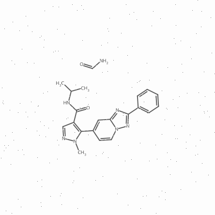 CC(C)NC(=O)c1cnn(C)c1-c1ccn2nc(-c3ccccc3)nc2c1.NC=O